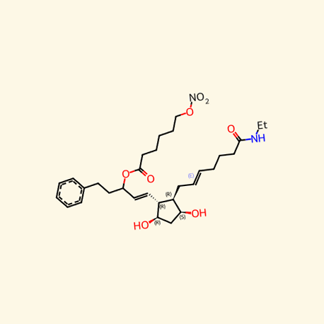 CCNC(=O)CCC/C=C/C[C@@H]1[C@@H](C=CC(CCc2ccccc2)OC(=O)CCCCCO[N+](=O)[O-])[C@H](O)C[C@@H]1O